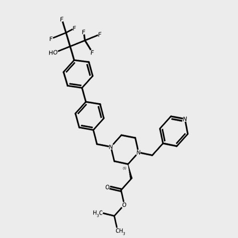 CC(C)OC(=O)C[C@H]1CN(Cc2ccc(-c3ccc(C(O)(C(F)(F)F)C(F)(F)F)cc3)cc2)CCN1Cc1ccncc1